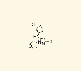 Clc1cc(Nc2cc(C3CC3)nn2C2CCOCC2)ccn1